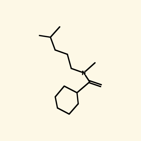 C=C(C1CCCCC1)N(C)CCCC(C)C